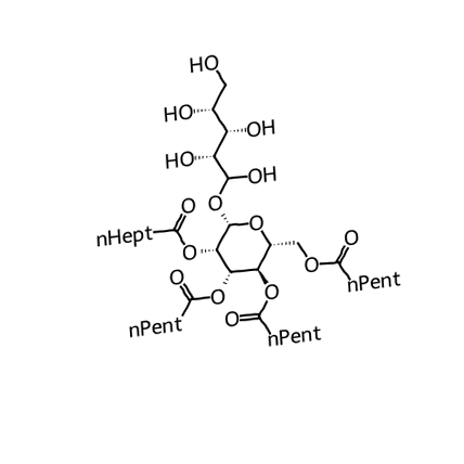 CCCCCCCC(=O)O[C@@H]1[C@H](OC(O)[C@H](O)[C@@H](O)[C@H](O)CO)O[C@H](COC(=O)CCCCC)[C@@H](OC(=O)CCCCC)[C@@H]1OC(=O)CCCCC